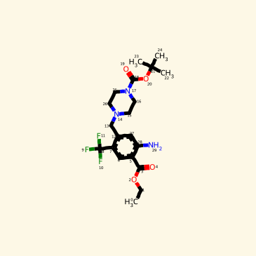 CCOC(=O)c1cc(C(F)(F)F)c(CN2CCN(C(=O)OC(C)(C)C)CC2)cc1N